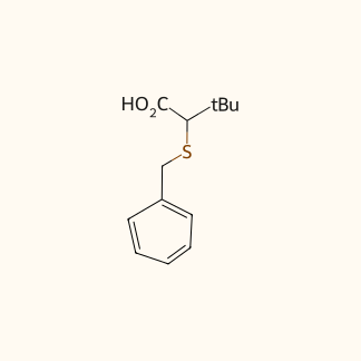 CC(C)(C)C(SCc1ccccc1)C(=O)O